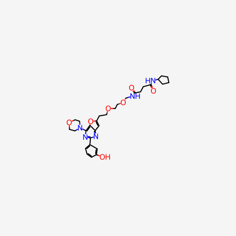 O=C(CCC(=O)NC1CCCC1)NCOCCOCCc1cc2nc(-c3cccc(O)c3)nc(N3CCOCC3)c2o1